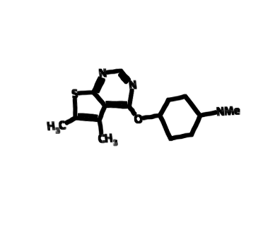 CNC1CCC(Oc2ncnc3sc(C)c(C)c23)CC1